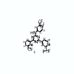 FC(F)c1cc(-c2nc(Nc3ccnc(C(F)(F)F)c3)nc(-c3cccc(C(F)(F)F)n3)n2)ccn1